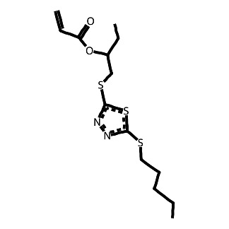 C=CC(=O)OC(CC)CSc1nnc(SCCCCC)s1